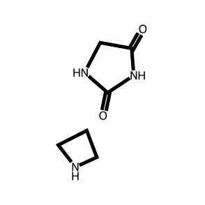 C1CNC1.O=C1CNC(=O)N1